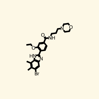 CCOc1cc(C(=O)NCCCN2CCOCC2)ccc1-c1nc2cc(Br)c(C)c(C)c2[nH]1